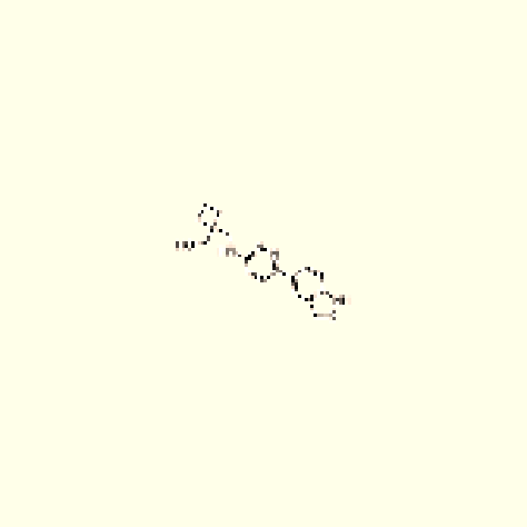 OCC1(CNc2ccc(-c3ccc4[nH]ncc4c3)nn2)CCC1